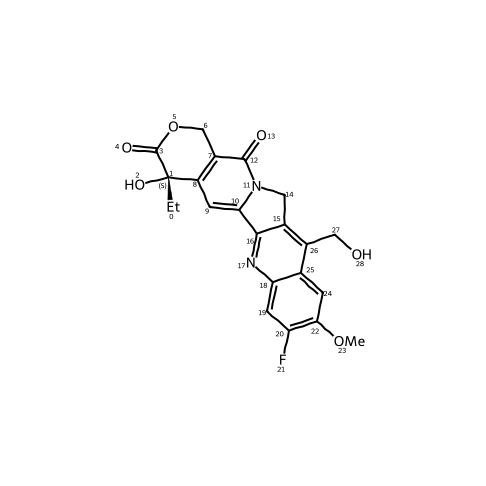 CC[C@@]1(O)C(=O)OCc2c1cc1n(c2=O)Cc2c-1nc1cc(F)c(OC)cc1c2CO